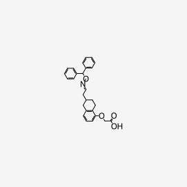 O=C(O)COc1cccc2c1CCC(CC=NOC(c1ccccc1)c1ccccc1)C2